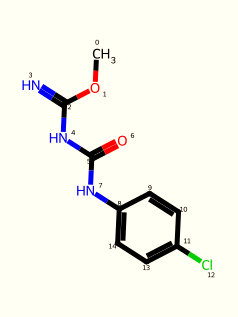 COC(=N)NC(=O)Nc1ccc(Cl)cc1